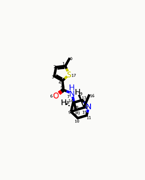 Cc1ccc(C(=O)N[C@@H]2C3CCN(CC3)[C@H]2C)s1